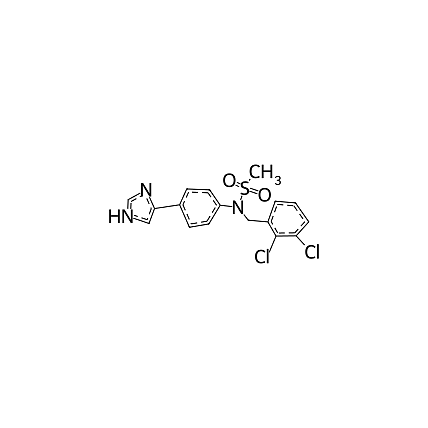 CS(=O)(=O)N(Cc1cccc(Cl)c1Cl)c1ccc(-c2c[nH]cn2)cc1